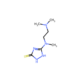 CN(C)CCN(C)c1nc(=S)[nH][nH]1